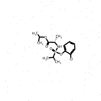 CC(C)OC(=O)[C@H](C)NP(=O)(Oc1ccccc1Cl)C(C)C